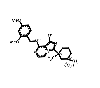 COc1ccc(CNc2nccn3c([C@]4(C)CCC[C@](C)(C(=O)O)C4)nc(Br)c23)c(OC)c1